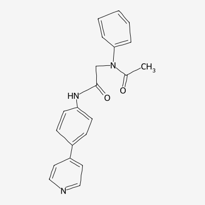 CC(=O)N(CC(=O)Nc1ccc(-c2ccncc2)cc1)c1ccccc1